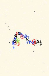 CC(C)(C)OC(=O)NCCCCCCNC(=O)CN1CCC(Oc2ccc3c(c2)CN(c2cn[nH]c(=O)c2C(F)(F)F)C3)CC1